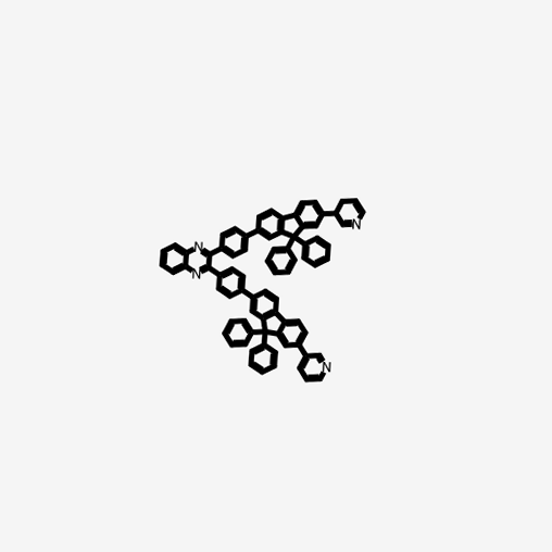 C1=CN=CC(c2ccc3c(c2)C(c2ccccc2)(c2ccccc2)c2cc(-c4ccc(-c5nc6ccccc6nc5-c5ccc(-c6ccc7c(c6)C(c6ccccc6)(c6ccccc6)c6cc(-c8cccnc8)ccc6-7)cc5)cc4)ccc2-3)C1